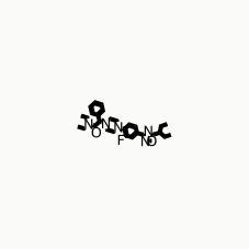 CCC(CC)c1nc(-c2ccc(N3CCN(C(C(=O)N(CC)CC)c4ccccc4)CC3)c(F)c2)no1